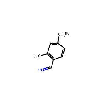 CCOC(=O)c1ccc(C=N)c(C)c1